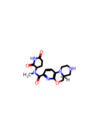 CN(C(=O)c1ccc2c(n1)OC[C@H]1CNCCN21)C1CCC(=O)NC1=O